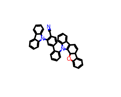 N#Cc1ccc(-c2ccccc2-n2c3c(c4ccccc42)C=CC2c4ccccc4OC32)cc1-n1c2ccccc2c2ccccc21